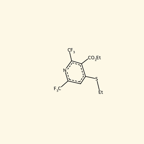 CCOC(=O)c1c(SCC)cc(C(F)(F)F)nc1C(F)(F)F